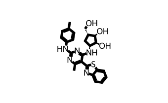 Cc1ccc(Nc2nc(C)c(-c3nc4ccccc4s3)c(N[C@@H]3C[C@H](CO)[C@@H](O)[C@H]3O)n2)cc1